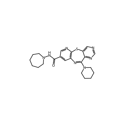 O=C(NN1CCCCCC1)c1cnc2c(c1)N=C(N1CCCCC1)c1ncncc1S2